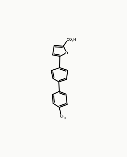 O=C(O)c1ccc(-c2ccc(-c3ccc(C(F)(F)F)cc3)cc2)o1